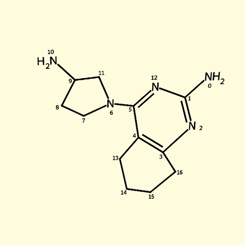 Nc1nc2c(c(N3CCC(N)C3)n1)CCCC2